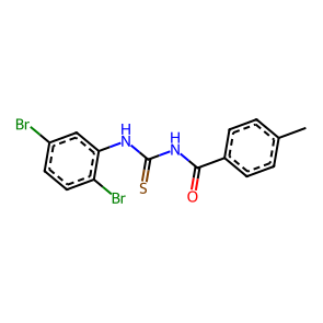 Cc1ccc(C(=O)NC(=S)Nc2cc(Br)ccc2Br)cc1